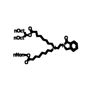 CCCCCCCCCOC(=O)CCCCCCCN(CCCCCCCC(=O)OC(CCCCCCCC)CCCCCCCC)CCN1Cc2ccccc2C1=O